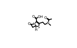 CC(=O)N(C)CCC1=C(C(=O)O)N2C(=O)C[C@H]2S1